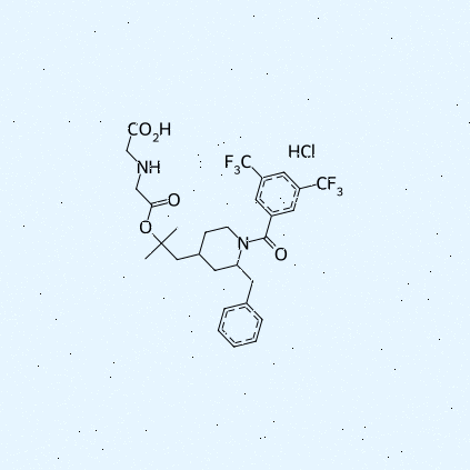 CC(C)(CC1CCN(C(=O)c2cc(C(F)(F)F)cc(C(F)(F)F)c2)C(Cc2ccccc2)C1)OC(=O)CNCC(=O)O.Cl